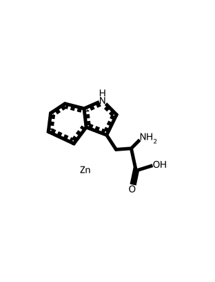 NC(Cc1c[nH]c2ccccc12)C(=O)O.[Zn]